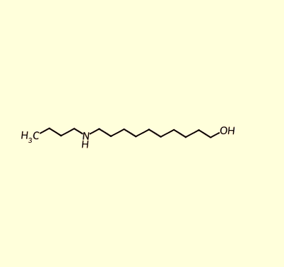 CCCCNCCCCCCCCCCO